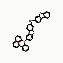 c1ccc(-c2ccccc2N(c2ccccc2)c2ccc3sc4cc(Nc5ccc6c(c5)sc5ccccc56)ccc4c3c2)cc1